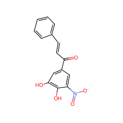 O=C(C=Cc1ccccc1)c1cc(O)c(O)c([N+](=O)[O-])c1